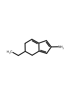 CCC1CC=C2C=C(N)C=C2C1